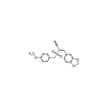 COc1ccc(CS(=O)(=O)/C(C#N)=C\c2ccc3c(c2)OCO3)cc1